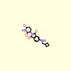 O=C1CCC(N2C(=O)c3ccc(NCC4CCC4)cc3C2=O)C(=O)N1